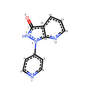 O=c1[nH]n(-c2ccncc2)c2ncccc12